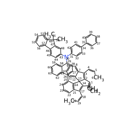 C=CC1=C(/C=C\C)c2ccccc2C12C(C=C)=C(/C=C\C)c1cccc(-c3ccc(N(c4ccc(-c5ccccc5)cc4)c4ccc5c(c4)C(C)(C)c4ccccc4-5)c4ccccc34)c12